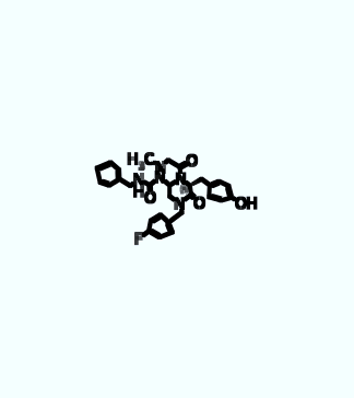 CN1CC(=O)N2C(CN(Cc3ccc(F)cc3)C(=O)[C@@H]2Cc2ccc(O)cc2)N1C(=O)NCc1ccccc1